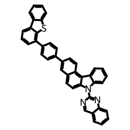 c1ccc2nc(-n3c4ccccc4c4c5ccc(-c6ccc(-c7cccc8c7sc7ccccc78)cc6)cc5ccc43)ncc2c1